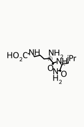 CC(C)C[C@H](NC(=O)[C@@H](N)CCCNC(=O)O)C(N)=O